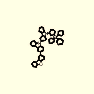 c1ccc([Si](c2ccccc2)(c2ccccc2)c2cccc(-n3c4ccccc4c4cc(-n5c6ccccc6c6cc(-c7ccc8oc9ccccc9c8c7)ccc65)ccc43)c2)cc1